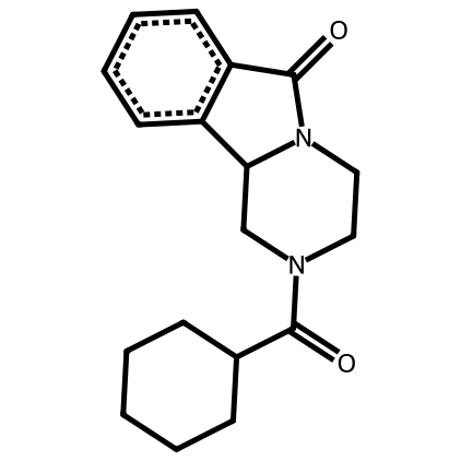 O=C(C1CCCCC1)N1CCN2C(=O)c3ccccc3C2C1